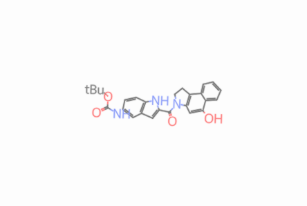 CC(C)(C)OC(=O)Nc1ccc2[nH]c(C(=O)N3CCc4c3cc(O)c3ccccc43)cc2c1